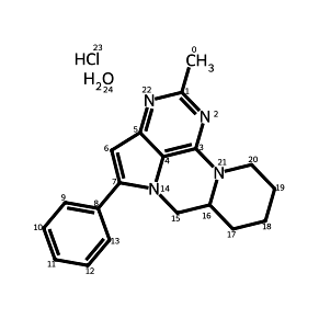 Cc1nc2c3c(cc(-c4ccccc4)n3CC3CCCCN23)n1.Cl.O